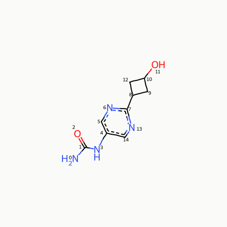 NC(=O)Nc1cnc(C2CC(O)C2)nc1